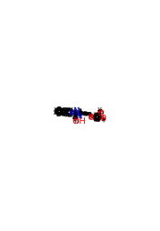 COc1ccc(OCC#Cc2cnc(N3CCC4(CC3)Cc3ccccc3C4)c(CO)n2)cc1OC